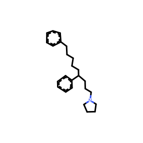 c1ccc(CCCCCC(CCCN2CCCC2)c2ccccc2)cc1